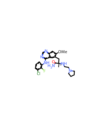 COc1cc2ncnc(Nc3cccc(Cl)c3F)c2cc1C[C@](C)(NCCN1CCCC1)C(N)=O